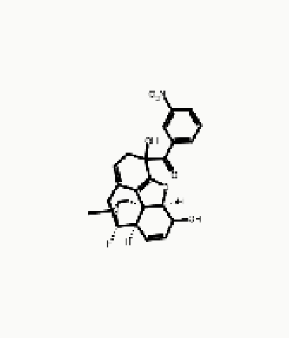 CN1CC[C@]23C4=C5O[C@H]2[C@@H](O)C=C[C@H]3[C@H]1CC4=CCC5(O)C(=O)c1cccc([N+](=O)[O-])c1